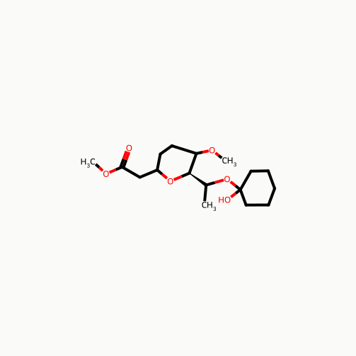 COC(=O)CC1CCC(OC)[C@@H](C(C)OC2(O)CCCCC2)O1